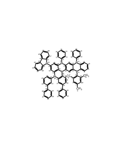 Cc1cc(C)c(B2c3ccccc3N(c3ccccc3)c3cc4c(cc32)B2c3ccc(-c5ccccc5)cc3N(c3cccc(-c5ccccc5)c3)c3cc(-n5c6ccccc6c6ccccc65)cc(c32)N4c2ccccc2)c(C)c1